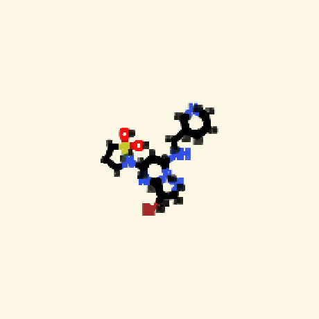 O=S1(=O)CCCN1c1cc(NCc2cccnc2)n2ncc(Br)c2n1